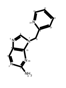 Nc1ncc2ncn(Cc3ccccn3)c2n1